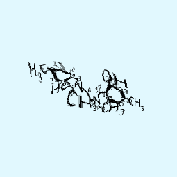 CCN(CCN(CC)Cc1ccc(C)cc1O)Cc1ccc(C)cc1O